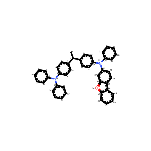 CC(c1ccc(N(c2ccccc2)c2ccccc2)cc1)c1ccc(N(c2ccccc2)c2ccc3c(c2)oc2ccccc23)cc1